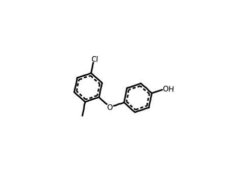 Cc1ccc(Cl)cc1Oc1ccc(O)cc1